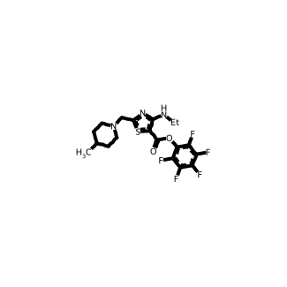 CCNc1nc(CN2CCC(C)CC2)sc1C(=O)Oc1c(F)c(F)c(F)c(F)c1F